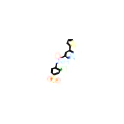 CS(=O)(=O)c1ccc(CNC(=O)c2cncc(-c3cccs3)c2)c(Cl)c1